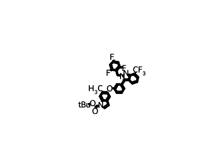 Cc1cc2c(ccn2C(=O)OC(C)(C)C)cc1Oc1cccc(-c2c3cccc(C(F)(F)F)c3nn2Cc2c(F)cc(F)cc2F)c1